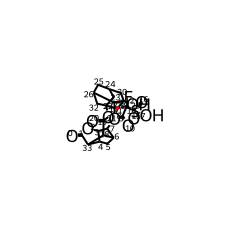 O=C1OC2C3CC(C2OC(=O)C(F)(F)S(=O)(=O)O)C(C(=O)OC24CC5CC(CC(O)(C5)C2)C4)C13